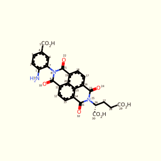 Nc1ccc(C(=O)O)cc1N1C(=O)c2ccc3c4c(ccc(c24)C1=O)C(=O)N([C@H](CCC(=O)O)C(=O)O)C3=O